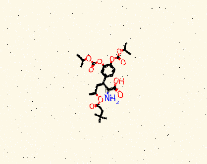 CC(C)OC(=O)Oc1ccc(C(CC(C)OC(=O)CC(C)(C)C)[C@H](N)C(=O)O)cc1OC(=O)OC(C)C